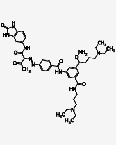 CCN(CC)CCCNC(=O)c1cc(NC(=O)c2ccc(N=NC(C(C)=O)C(=O)Nc3ccc4[nH]c(=O)[nH]c4c3)cc2)cc(C(CCCN(CC)CC)ON)c1